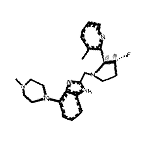 Cc1cccnc1[C@H]1[C@H](F)CCN1Cc1nc2c(N3CCN(C)CC3)cccc2[nH]1